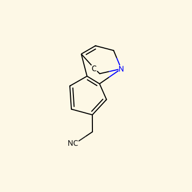 N#CCc1ccc2c(c1)N1CC=C2CC1